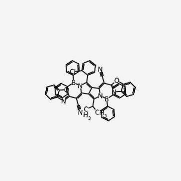 CC(C)c1c2/c(=C(\C#N)c3nc4ccccc4o3)n(B(c3ccccc3)c3ccccc3)c(-c3ccccc3Cl)c2/c(=C(\C#N)c2nc3ccccc3o2)n1B(c1ccccc1)c1ccccc1